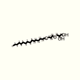 CCCCCCCCCCCCCCCCOCCCOCC(O)CO